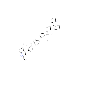 CC1(C)c2cc(C3=C4C=CC=CC4Nc4ccccc43)ccc2-c2ccc(-c3ccc4c(c3)C(C)(C)c3cc(-c5c6ccccc6nc6ccccc56)ccc3-4)cc21